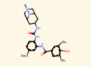 COc1ccc(NC(=O)NC2CC3CN(C)CC(C2)N3C)c(NC(=O)c2cc(C(C)(C)C)c(O)c(C(C)(C)C)c2)c1